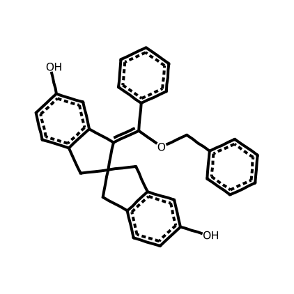 Oc1ccc2c(c1)CC1(C2)Cc2ccc(O)cc2C1=C(OCc1ccccc1)c1ccccc1